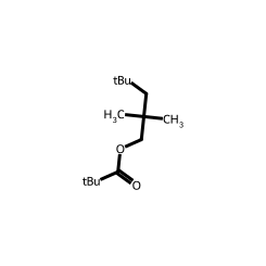 CC(C)(C)CC(C)(C)COC(=O)C(C)(C)C